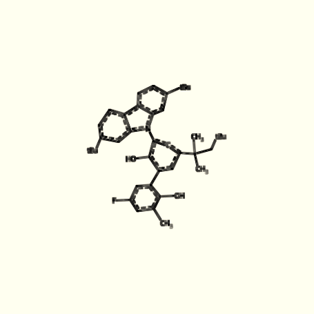 Cc1cc(F)cc(-c2cc(C(C)(C)CC(C)(C)C)cc(-n3c4cc(C(C)(C)C)ccc4c4ccc(C(C)(C)C)cc43)c2O)c1O